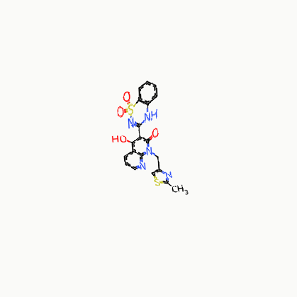 Cc1nc(Cn2c(=O)c(C3=NS(=O)(=O)c4ccccc4N3)c(O)c3cccnc32)cs1